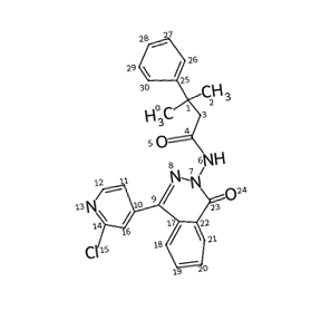 CC(C)(CC(=O)Nn1nc(-c2ccnc(Cl)c2)c2ccccc2c1=O)c1ccccc1